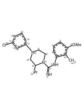 COc1cccc(NC(=N)N2CCN(c3ccnc(Cl)n3)CC2C(C)C)c1C